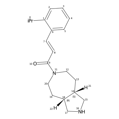 CC(C)c1ccccc1C=CC(=O)N1CC[C@@H]2CNC[C@@H]2CC1